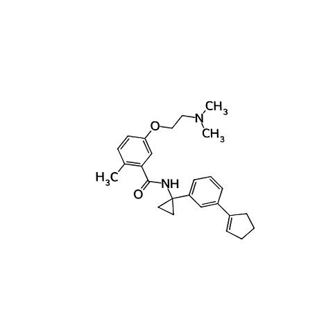 Cc1ccc(OCCN(C)C)cc1C(=O)NC1(c2cccc(C3=CCCC3)c2)CC1